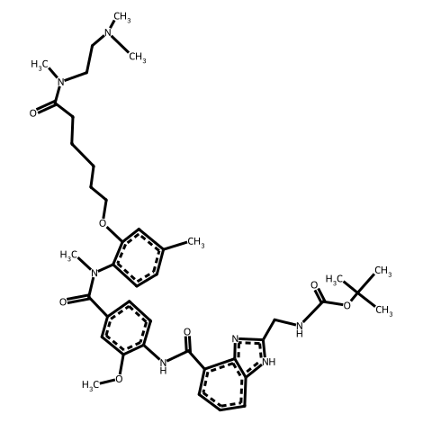 COc1cc(C(=O)N(C)c2ccc(C)cc2OCCCCCC(=O)N(C)CCN(C)C)ccc1NC(=O)c1cccc2[nH]c(CNC(=O)OC(C)(C)C)nc12